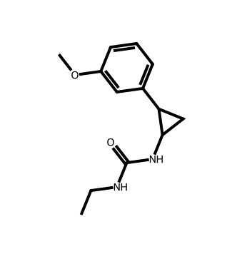 CCNC(=O)NC1CC1c1cccc(OC)c1